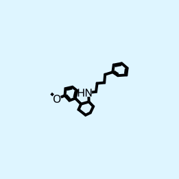 COc1cccc(C2CCCCC2NCCCCc2ccccc2)c1